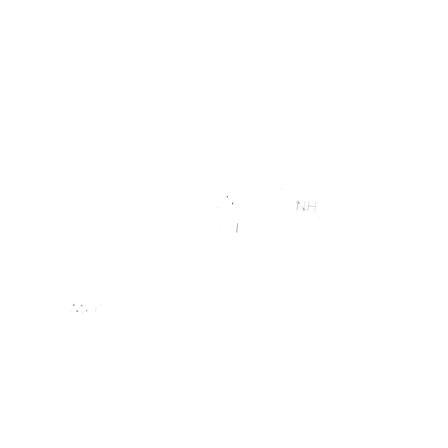 COc1ccc(CCC[N@@+]2(C)CCC[C@H](N)C2)cc1